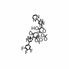 CO[C@H]1C[SH]([C@@H]2COC[C@H](n3cc(-c4ncccn4)nn3)[C@H]2O)[C@H](COC(C)=O)[C@H](OC(C)=O)[C@H]1n1cc(-c2cc(F)c(F)c(F)c2)nn1